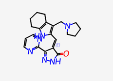 O=C1NN=C(c2ncccn2)/C1=C\c1[nH]c2c(c1CN1CCCC1)CCCC2